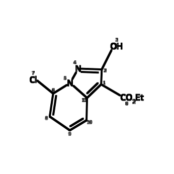 CCOC(=O)c1c(O)nn2c(Cl)cccc12